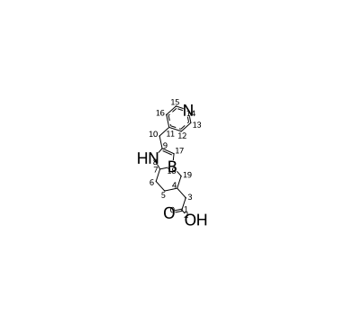 O=C(O)CC1CCC2NC(Cc3ccncc3)=CB2C1